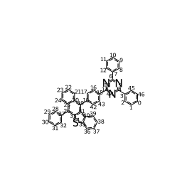 c1ccc(-c2nc(-c3ccccc3)nc(-c3ccc(-c4c5ccccc5c(-c5ccccc5)c5sc6ccccc6c45)cc3)n2)cc1